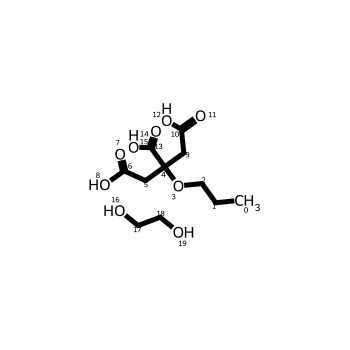 CCCOC(CC(=O)O)(CC(=O)O)C(=O)O.OCCO